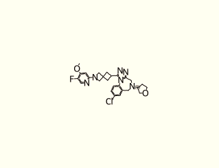 COc1cc(N2CC3(CC(c4nnc5n4-c4ccc(Cl)cc4CN([C@@H]4CCOC4)C5)C3)C2)ncc1F